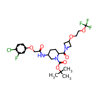 CC(C)(C)OC(=O)N1CC(NC(=O)COc2ccc(Cl)c(F)c2)CCC1C(=O)N1CC(OCCOC(F)(F)F)C1